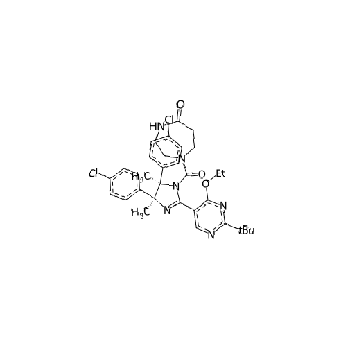 CCOc1nc(C(C)(C)C)ncc1C1=N[C@@](C)(c2ccc(Cl)cc2)[C@@](C)(c2ccc(Cl)cc2)N1C(=O)N1CCNC(=O)CC1